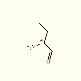 CC[C@@H](N)C=O